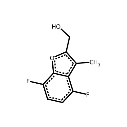 Cc1c(CO)oc2c(F)ccc(F)c12